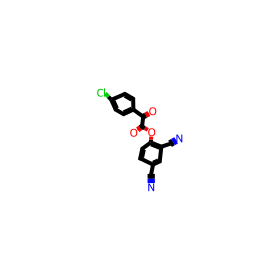 N#Cc1ccc(OC(=O)C(=O)c2ccc(Cl)cc2)c(C#N)c1